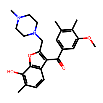 COc1cc(C(=O)c2c(CN3CCN(C)CC3)oc3c(O)c(C)ccc23)cc(C)c1C